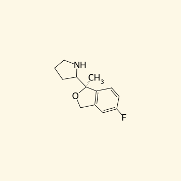 C[C@@]1(C2CCCN2)OCc2cc(F)ccc21